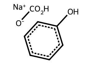 O=C([O-])O.Oc1ccccc1.[Na+]